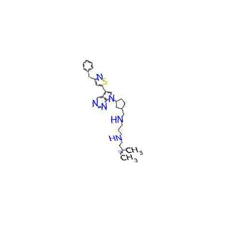 C/C=C(\C)CCNCCCNCC1CCC(n2cc(-c3cc(Cc4ccccc4)ns3)c3cncnc32)C1